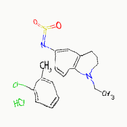 CCN1CCc2cc(N=S(=O)=O)ccc21.Cc1ccccc1Cl.Cl